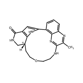 Cc1nc2cccc3c2nc1NCCOCC[C@@H]1CNC(=O)c2cc-3[nH]c21